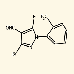 O=Cc1c(Br)nn(-c2ccccc2C(F)(F)F)c1Br